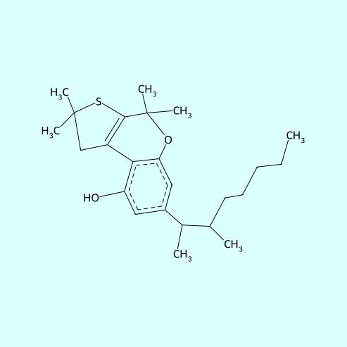 CCCCCC(C)C(C)c1cc(O)c2c(c1)OC(C)(C)C1=C2CC(C)(C)S1